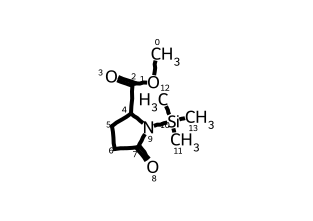 COC(=O)C1CCC(=O)N1[Si](C)(C)C